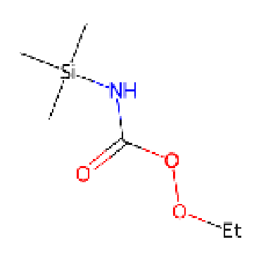 CCOOC(=O)N[Si](C)(C)C